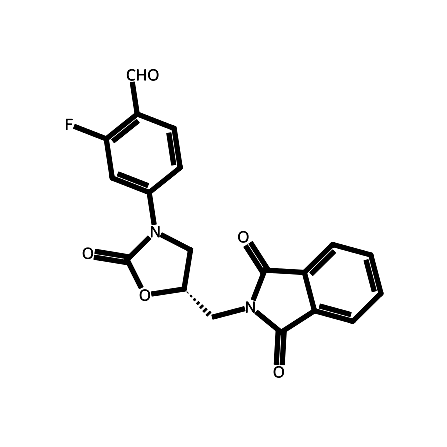 O=Cc1ccc(N2C[C@H](CN3C(=O)c4ccccc4C3=O)OC2=O)cc1F